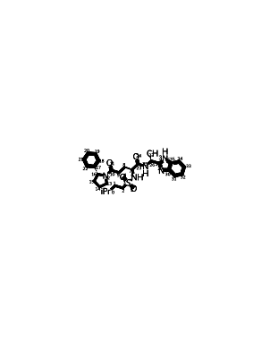 CC(C)CCS(=O)(=O)N[C@@H](CCC(=O)N1CCC[C@@H]1c1ccccc1)C(=O)N[C@H](C)c1nc2ccccc2[nH]1